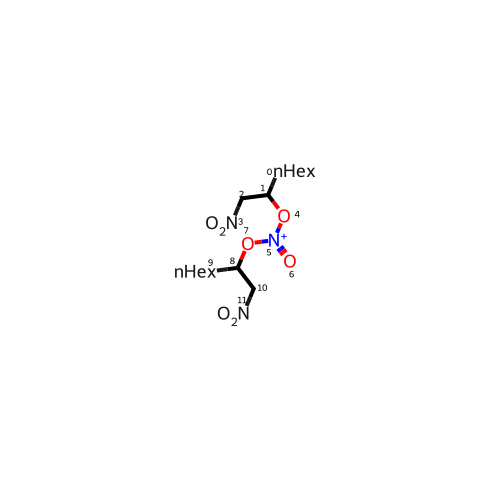 CCCCCCC(C[N+](=O)[O-])O[N+](=O)OC(CCCCCC)C[N+](=O)[O-]